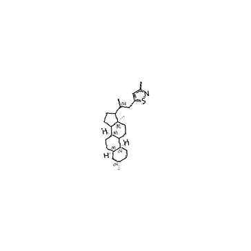 Cc1cc(C[C@H](C)C2CCC3[C@@H]4CC[C@@H]5C[C@@H](C)CC[C@@H]5C4CC[C@@]32C)sn1